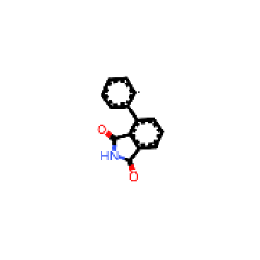 O=C1NC(=O)c2c1cccc2-c1[c]cccc1